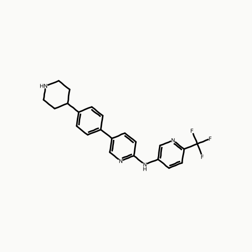 FC(F)(F)c1ccc(Nc2ccc(-c3ccc(C4CCNCC4)cc3)cn2)cn1